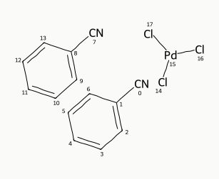 N#Cc1ccccc1.N#Cc1ccccc1.[Cl][Pd]([Cl])[Cl]